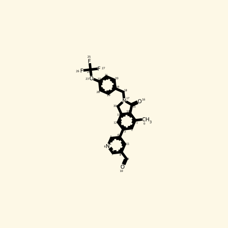 Cc1cc(-c2cncc(C=O)c2)cc2c1C(=O)N(Cc1ccc(OC(F)(F)F)cc1)C2